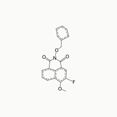 COc1c(F)cc2c3c(cccc13)C(=O)N(OCc1ccccc1)C2=O